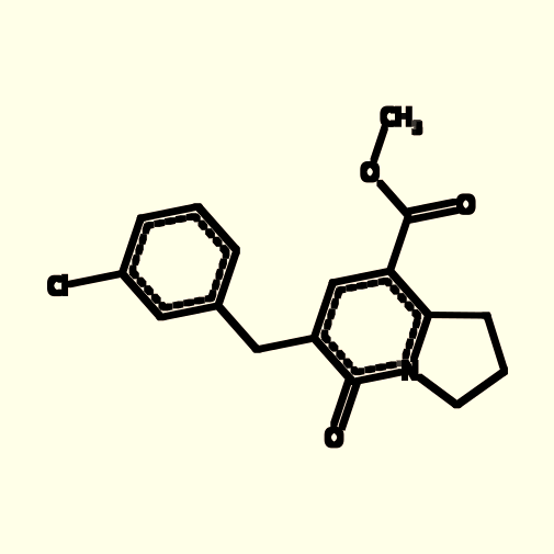 COC(=O)c1cc(Cc2cccc(Cl)c2)c(=O)n2c1CCC2